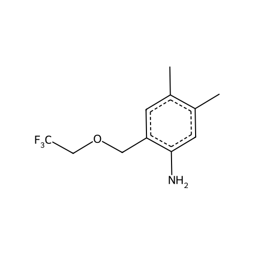 Cc1cc(N)c(COCC(F)(F)F)cc1C